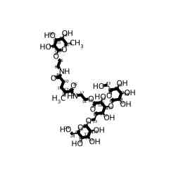 C[C@@H]1O[C@@H](OCCNC(=O)CC[C@H](C)C(=O)NCCO[C@H]2O[C@H](CO[C@H]3O[C@H](CO)[C@@H](O)[C@H](O)[C@@H]3O)[C@@H](O)[C@H](O[C@H]3O[C@H](CO)[C@@H](O)[C@H](O)[C@@H]3O)[C@@H]2O)[C@@H](O)[C@H](O)[C@@H]1O